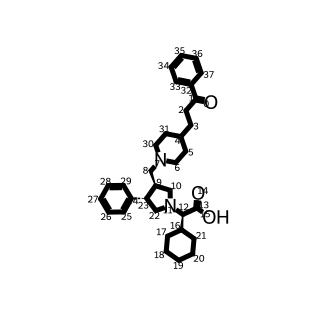 O=C(CCC1CCN(C[C@H]2CN([C@@H](C(=O)O)C3CCCCC3)C[C@@H]2c2ccccc2)CC1)c1ccccc1